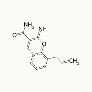 C=CCc1cccc2cc(C(N)=O)c(=N)oc12